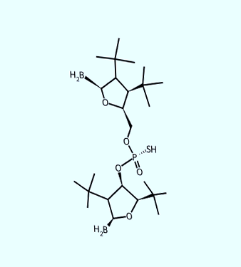 B[C@@H]1O[C@H](C(C)(C)C)[C@H](O[P@@](=O)(S)OC[C@H]2O[C@@H](B)C(C(C)(C)C)[C@H]2C(C)(C)C)C1C(C)(C)C